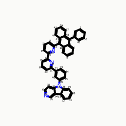 c1ccc(-c2c3ccccc3c(-c3cccc(-c4cccc(-c5cccc(-n6c7ccccc7c7cnccc76)c5)n4)n3)c3ccccc23)cc1